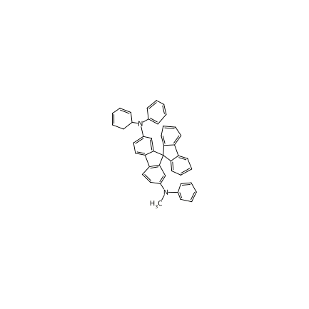 CN(c1ccccc1)c1ccc2c(c1)C1(c3ccccc3-c3ccccc31)c1cc(N(c3ccccc3)C3C=CC=CC3)ccc1-2